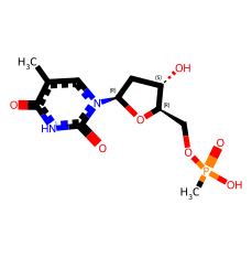 Cc1cn([C@H]2C[C@H](O)[C@@H](COP(C)(=O)O)O2)c(=O)[nH]c1=O